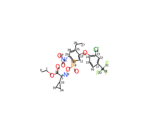 CCOC(=O)C(=NO[PH](=O)c1cc(Oc2ccc(C(F)(F)F)cc2Cl)c(CC)cc1[N+](=O)[O-])C1CC1